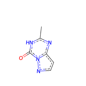 Cc1nc2ccnn2c(=O)[nH]1